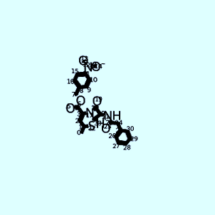 CC1C=C(C(=O)OCc2ccc([N+](=O)[O-])cc2)N2C(=O)C(NC(=O)Cc3ccccc3)[C@@H]2S1